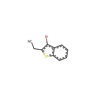 N#CCc1sc2ccccc2c1Br